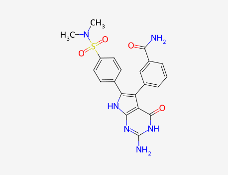 CN(C)S(=O)(=O)c1ccc(-c2[nH]c3nc(N)[nH]c(=O)c3c2-c2cccc(C(N)=O)c2)cc1